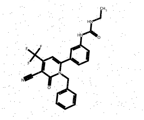 CCNC(=O)Nc1cccc(-c2cc(C(F)(F)F)c(C#N)c(=O)n2Cc2ccccc2)c1